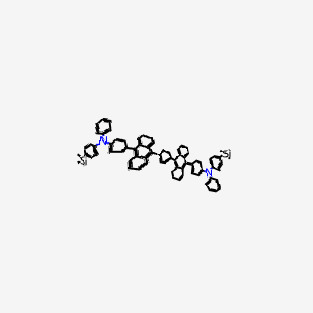 C[Si](C)(C)c1ccc(N(c2ccccc2)c2ccc(-c3c4ccccc4c(-c4ccc(-c5c6ccccc6c(-c6ccc(N(c7ccccc7)c7ccc([Si](C)(C)C)cc7)cc6)c6ccccc56)cc4)c4ccccc34)cc2)cc1